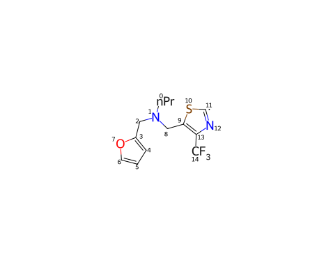 CCCN(Cc1ccco1)Cc1s[c]nc1C(F)(F)F